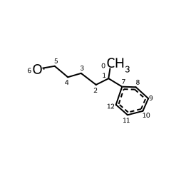 CC(CCCC[O])c1ccccc1